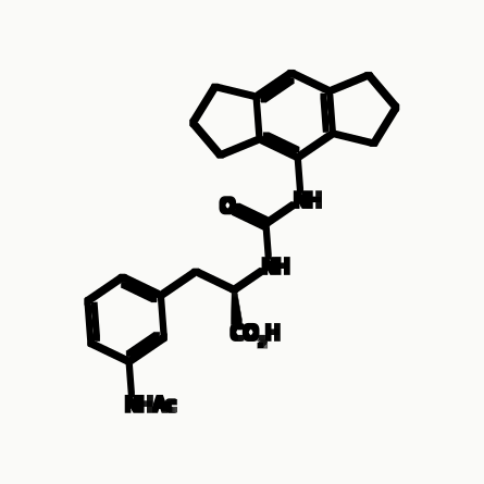 CC(=O)Nc1cccc(C[C@@H](NC(=O)Nc2c3c(cc4c2CCC4)CCC3)C(=O)O)c1